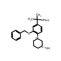 CCCCCC(C)(C)c1ccc([C@@H]2CCC[C@@H](O)C2)c(OCc2ccccc2)c1